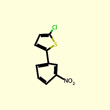 O=[N+]([O-])c1cccc(-c2ccc(Cl)s2)c1